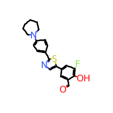 O=Cc1cc(-c2cnc(-c3ccc(N4CCCCCC4)cc3)s2)cc(F)c1O